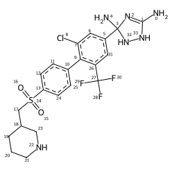 NC1=NC(N)(c2cc(Cl)c(-c3ccc(S(=O)(=O)CC4CCCNC4)cc3)c(C(F)(F)F)c2)NN1